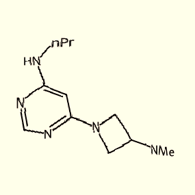 CCCNc1cc(N2CC(NC)C2)ncn1